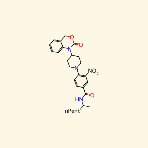 CCCCCC(C)NC(=O)c1ccc(N2CCC(N3C(=O)OCc4ccccc43)CC2)c([N+](=O)[O-])c1